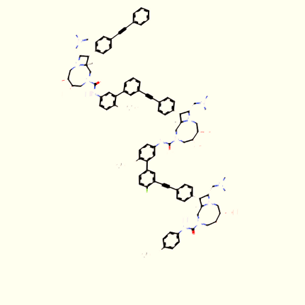 COc1ccc(NC(=O)N2C[C@@H](O)[C@@H](O)CN3[C@H](CN(C)C)[C@H](c4ccc(C#Cc5cc(-c6cc(NC(O)N7C[C@H](O)[C@H](O)CN8[C@H](CN(C)C)[C@H](c9ccc(C#Cc%10cccc(-c%11cc(NC(=O)N%12C[C@@H](O)[C@@H](O)CN%13[C@H](CN(C)C)[C@H](c%14ccc(C#Cc%15ccccc%15)cc%14)[C@@H]%13C%12)ccc%11OC)c%10)cc9)[C@@H]8C7)ccc6OC)ccc5F)cc4)[C@@H]3C2)cc1